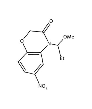 CCC(OC)N1C(=O)COc2ccc([N+](=O)[O-])cc21